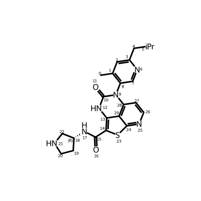 Cc1cc(CC(C)C)ncc1N1C(=O)Nc2c(C(=O)N[C@@H]3CCNC3)sc3nccc1c23